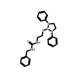 S=C(NCCSP1N(c2ccccc2)CCN1c1ccccc1)NCc1ccccc1